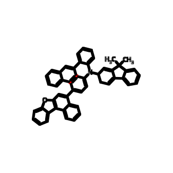 CC1(C)C2=CC(N(c3ccc(-c4cc5oc6ccccc6c5c5ccccc45)cc3)c3ccccc3-c3ccc4ccccc4c3)CC=C2c2ccccc21